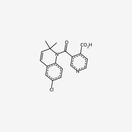 CC1(C)C=Cc2cc(Cl)ccc2N1C(=O)c1cnccc1C(=O)O